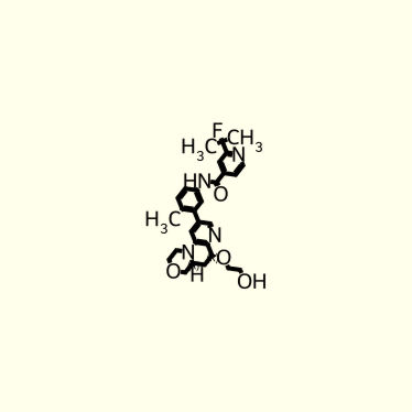 Cc1ccc(NC(=O)c2ccnc(C(C)(C)F)c2)cc1-c1cnc2c(c1)N1CCOC[C@H]1C[C@H]2OCCO